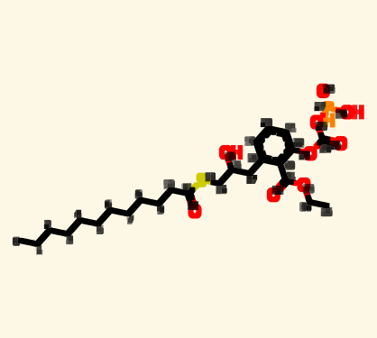 CCCCCCCCCCCC(=O)SCC(O)Cc1cccc(OC(=O)O[PH](=O)O)c1C(=O)OCC